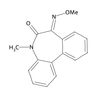 CO/N=c1/c(=O)n(C)c2ccccc2c2ccccc12